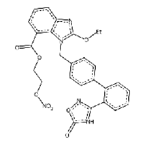 CCOc1nc2cccc(C(=O)OCCO[N+](=O)[O-])c2n1Cc1ccc(-c2ccccc2-c2noc(=O)[nH]2)cc1